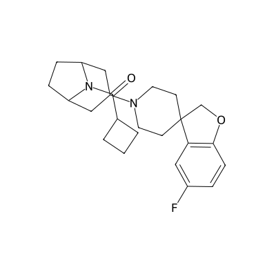 O=C(C1CCC1)N1C2CCC1CC(N1CCC3(CC1)COc1ccc(F)cc13)C2